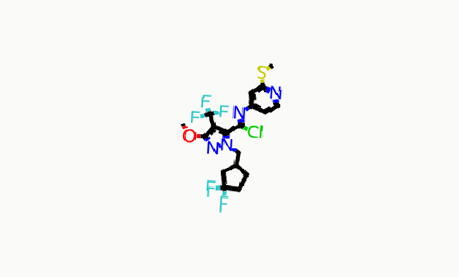 COc1nn(CC2CCC(F)(F)C2)c(/C(Cl)=N/c2ccnc(SC)c2)c1C(F)(F)F